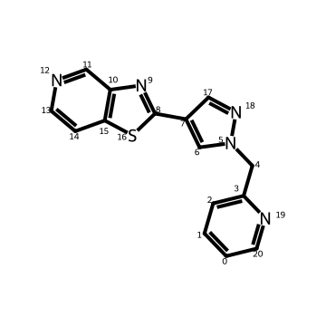 c1ccc(Cn2cc(-c3nc4cnccc4s3)cn2)nc1